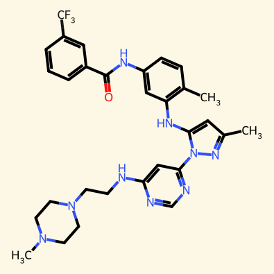 Cc1cc(Nc2cc(NC(=O)c3cccc(C(F)(F)F)c3)ccc2C)n(-c2cc(NCCN3CCN(C)CC3)ncn2)n1